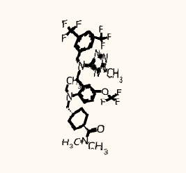 CCN(C[C@H]1CC[C@H](C(=O)N(C)C)CC1)c1ccc(OC(F)(F)F)cc1CN(Cc1cc(C(F)(F)F)cc(C(F)(F)F)c1)c1nnn(C)n1